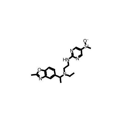 CCN(CCNc1ncc([S+](C)[O-])cn1)C(C)c1ccc2oc(C)nc2c1